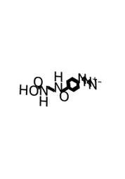 [N-]=[N+]=Nc1ccc(C(=O)NCCNC(=O)O)cc1